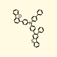 c1ccc(-c2ccc(N(c3ccc(-c4cc5sc6ccccc6c5cc4-c4ccccc4)cc3)c3ccc(-c4cccc5c4oc4ccccc45)cc3)cc2)cc1